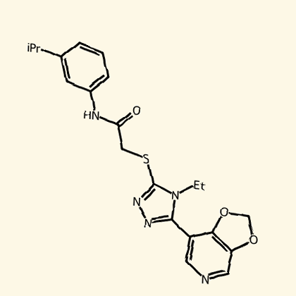 CCn1c(SCC(=O)Nc2cccc(C(C)C)c2)nnc1-c1cncc2c1OCO2